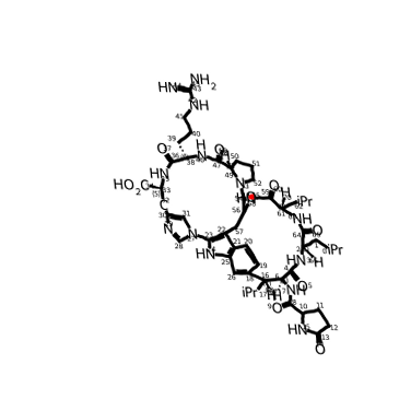 CC(C)C[C@@H]1NC(=O)[C@@H](NC(=O)C2CCC(=O)N2)[C@H](C(C)C)c2ccc3c4c([nH]c3c2)-n2cnc(c2)C[C@@H](C(=O)O)NC(=O)[C@H](CCCNC(=N)N)NC(=O)[C@@H]2CCCN2C(=O)C(C4)NC(=O)[C@H](C(C)C)NC1=O